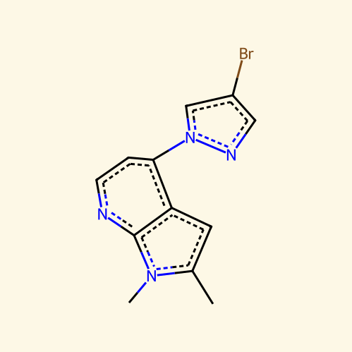 Cc1cc2c(-n3cc(Br)cn3)ccnc2n1C